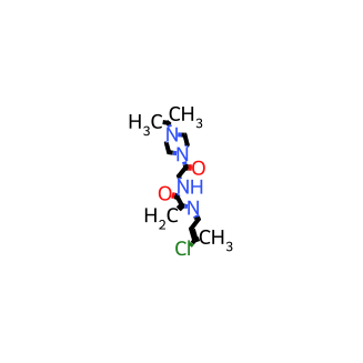 C=C(/N=C\C=C(/C)Cl)C(=O)NCC(=O)N1CCN(C(C)C)CC1